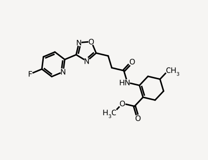 COC(=O)C1=C(NC(=O)CCc2nc(-c3ccc(F)cn3)no2)CC(C)CC1